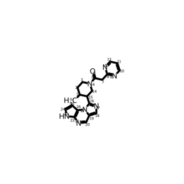 CC1CCN(C(=O)Cc2ncccn2)CC1c1ncc2cnc3[nH]ccc3n12